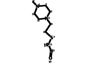 CN1CCN(CCSPN=O)CC1